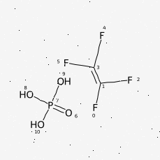 FC(F)=C(F)F.O=P(O)(O)O